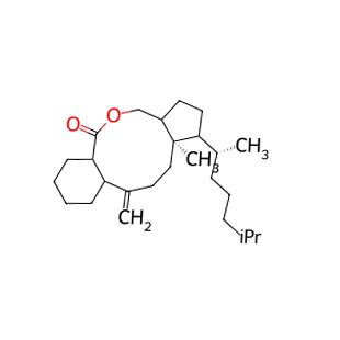 C=C1CC[C@@]2(C)C(CCC2[C@H](C)CCCC(C)C)COC(=O)C2CCCCC12